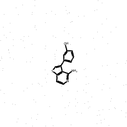 Nc1nccc2scc(-c3cccc(O)c3)c12